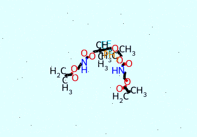 C=C(C)C(=O)OCCNC(=O)OCC(C)(C)OC(F)(F)C(F)(P)C(C)(C)COC(=O)NCCOC(=O)C(=C)C